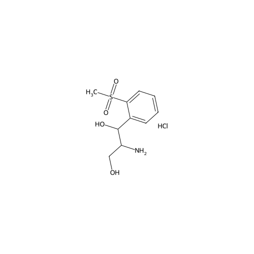 CS(=O)(=O)c1ccccc1C(O)C(N)CO.Cl